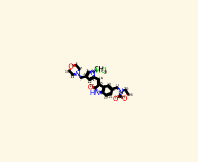 Cl.Cn1cc(CN2CCOCC2)cc1C=C1C(=O)Nc2ccc(CN3CCOC3=O)cc21